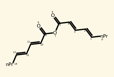 CCCC=CC=CC(=O)OC(=O)C=CC=CCCC